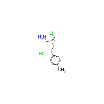 Cc1ccc(CC/C(=C/Cl)CN)cc1.Cl